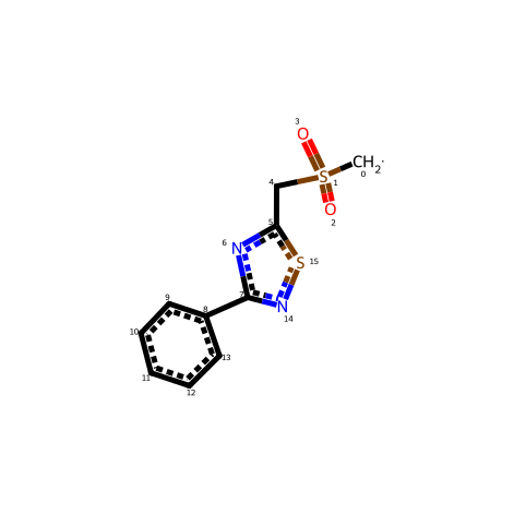 [CH2]S(=O)(=O)Cc1nc(-c2ccccc2)ns1